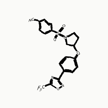 N#Cc1ccc(S(=O)(=O)N2CCC(Oc3ccc(-c4noc(C(F)(F)F)n4)cc3)C2)cc1